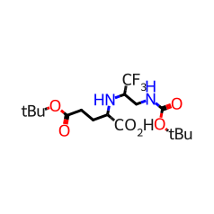 CC(C)(C)OC(=O)CCC(NC(CNC(=O)OC(C)(C)C)C(F)(F)F)C(=O)O